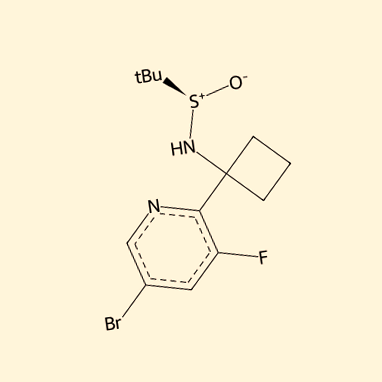 CC(C)(C)[S@@+]([O-])NC1(c2ncc(Br)cc2F)CCC1